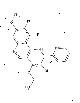 CCOC(=O)c1cnc2cc(OC)c(Br)c(F)c2c1NC(CO)c1ccccn1